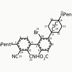 CCCCCc1ccc(-c2c(C(=O)O)ccc(C34CCC(CCCCC)(CC3)CC4)c2Br)c(C#N)c1C#N